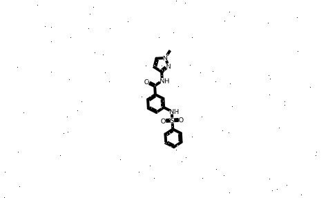 Cn1ccc(NC(=O)c2cccc(NS(=O)(=O)c3ccccc3)c2)n1